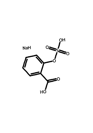 O=C(O)c1ccccc1OS(=O)(=O)O.[NaH]